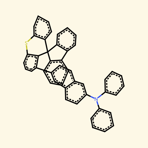 c1ccc(N(c2ccccc2)c2ccc3cc(-c4cccc5c4C4(c6ccccc6S5)c5ccccc5-c5ccccc54)ccc3c2)cc1